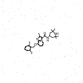 Cc1nc2c(OCc3c(F)cccc3F)cccn2c1C(=O)NC1CC(C)(C)NC(C)(C)C1